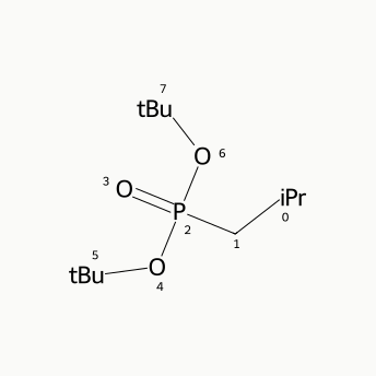 CC(C)CP(=O)(OC(C)(C)C)OC(C)(C)C